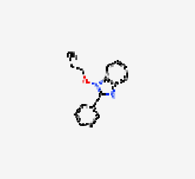 CCCOn1c(-c2ccccc2)nc2ccccc21